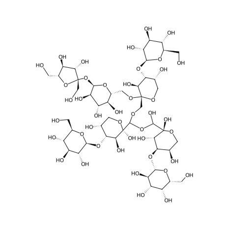 OC[C@H]1O[C@@H](O[C@@H]2[C@H](O)CO[C@@](O)(C(O)OC(OC[C@]3(OC[C@H]4O[C@H](O[C@]5(CO)O[C@H](CO)[C@@H](O)[C@@H]5O)[C@H](O)[C@@H](O)[C@@H]4O)OC[C@@H](O)[C@@H](O[C@@H]4O[C@H](CO)[C@@H](O)[C@H](O)[C@H]4O)[C@@H]3O)[C@]3(O)OC[C@@H](O)[C@@H](O[C@@H]4O[C@H](CO)[C@@H](O)[C@H](O)[C@H]4O)[C@@H]3O)[C@H]2O)[C@H](O)[C@@H](O)[C@H]1O